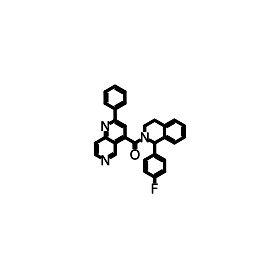 O=C(c1cc(-c2ccccc2)nc2ccncc12)N1CCc2ccccc2C1c1ccc(F)cc1